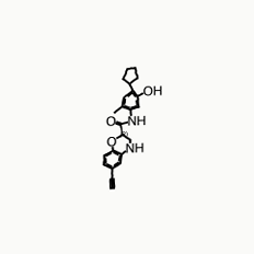 C#Cc1ccc2c(c1)NC[C@H](C(=O)Nc1cc(O)c(C3CCCC3)cc1C)O2